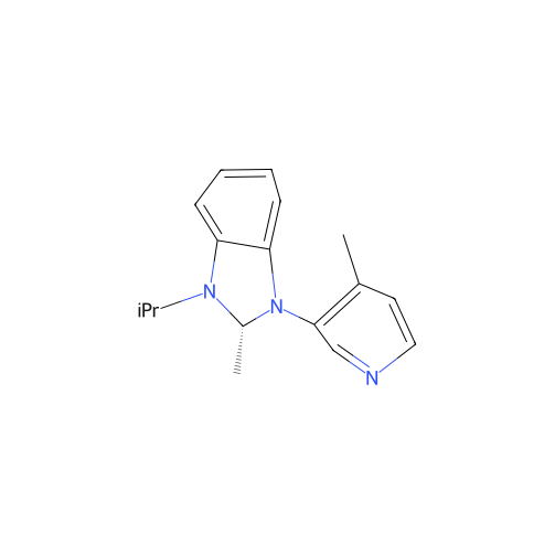 Cc1ccncc1N1c2ccccc2N(C(C)C)[C@H]1C